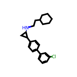 Clc1cccc(-c2ccc(C3C[C@@H]3NCCC3CCCCC3)cc2)c1